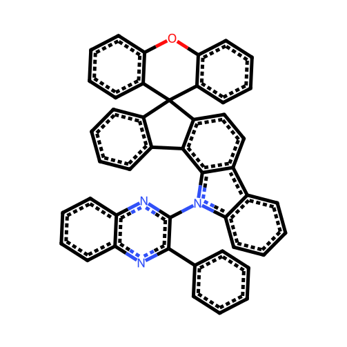 c1ccc(-c2nc3ccccc3nc2-n2c3ccccc3c3ccc4c(c32)-c2ccccc2C42c3ccccc3Oc3ccccc32)cc1